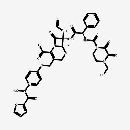 CCN1CCN(C(=O)N[C@@H](C(=O)N[C@]2(NC=O)C(=O)N3C(C(=O)[O-])=C(CSc4cc[n+](N(C)C(=O)c5ccco5)cc4)CS[C@@H]32)c2ccccc2)C(=O)C1=O